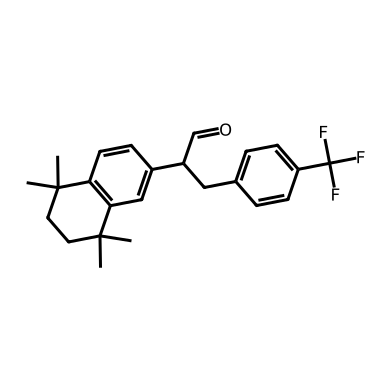 CC1(C)CCC(C)(C)c2cc(C(C=O)Cc3ccc(C(F)(F)F)cc3)ccc21